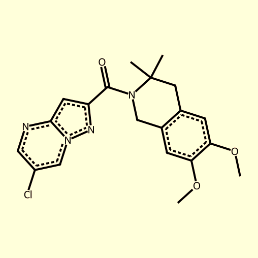 COc1cc2c(cc1OC)CC(C)(C)N(C(=O)c1cc3ncc(Cl)cn3n1)C2